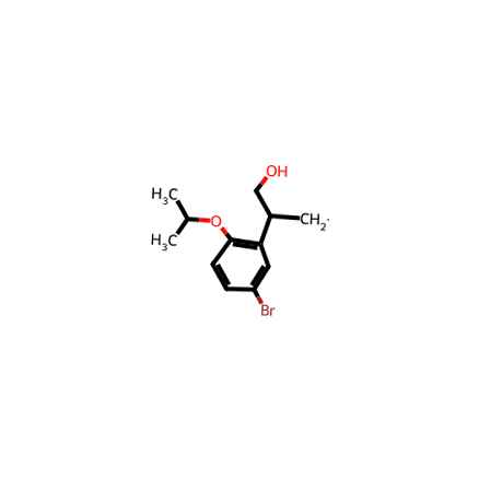 [CH2]C(CO)c1cc(Br)ccc1OC(C)C